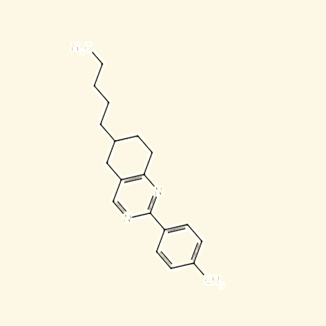 CCCCCC1CCc2nc(-c3ccc(C)cc3)ncc2C1